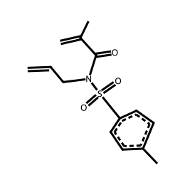 C=CCN(C(=O)C(=C)C)S(=O)(=O)c1ccc(C)cc1